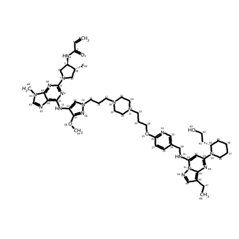 C=CC(=O)N[C@@H]1CN(c2nc(Nc3cn(CCCN4CCN(CCCOc5ccc(CNc6cc(N7CCCC[C@H]7CCO)nc7c(CC)cnn67)cn5)CC4)nc3OC)c3ncn(C)c3n2)C[C@H]1F